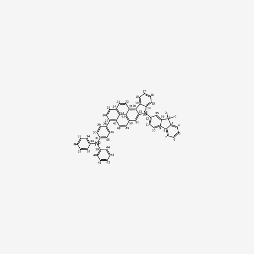 CC1(C)c2ccccc2-c2ccc(-n3c4ccccc4c4c5ccc6ccc(-c7ccc(N(c8ccccc8)c8ccccc8)cc7)c7ccc(cc43)c5c67)cc21